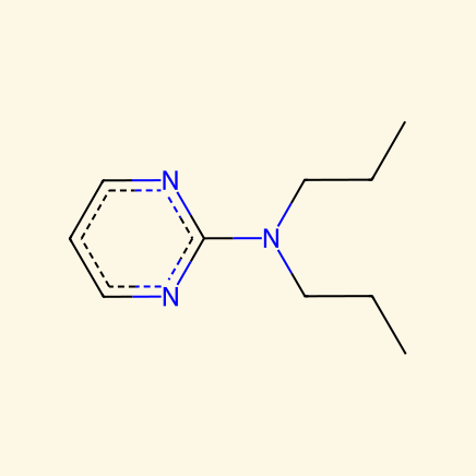 CCCN(CCC)c1ncccn1